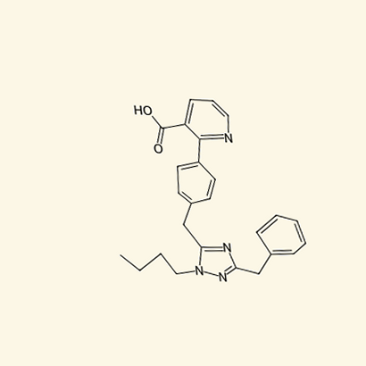 CCCCn1nc(Cc2ccccc2)nc1Cc1ccc(-c2ncccc2C(=O)O)cc1